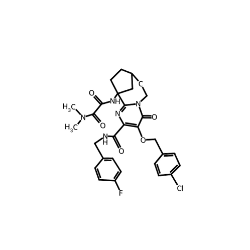 CN(C)C(=O)C(=O)NC12CCC(CCn3c1nc(C(=O)NCc1ccc(F)cc1)c(OCc1ccc(Cl)cc1)c3=O)C2